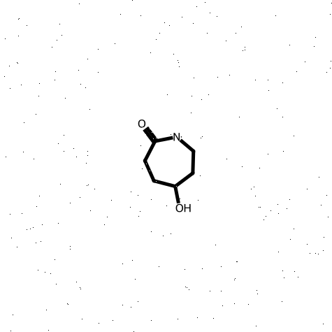 O=C1CCC(O)CC[N]1